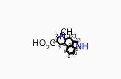 CN1C[C@@H](C(=O)O)CC2c3cccc4[nH]cc(c34)CC21